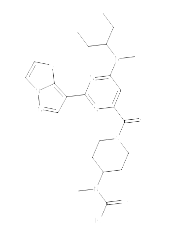 CCC(CC)N(C)c1cc(C(=O)N2CCC(N(C)C(=O)O)CC2)nc(-c2cnn3ccsc23)n1